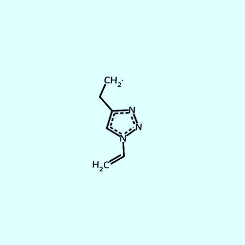 [CH2]Cc1cn(C=C)nn1